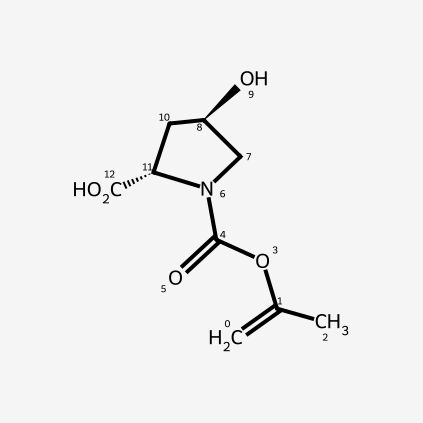 C=C(C)OC(=O)N1C[C@H](O)C[C@H]1C(=O)O